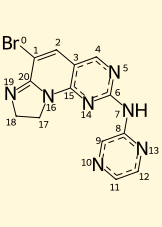 BrC1=Cc2cnc(Nc3cnccn3)nc2N2CCN=C12